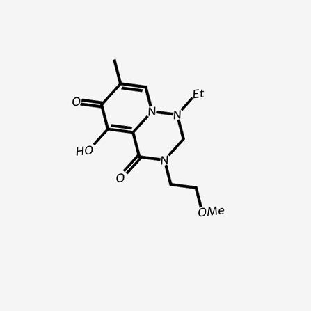 CCN1CN(CCOC)C(=O)c2c(O)c(=O)c(C)cn21